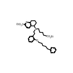 CCOC(=O)CCCCN(CCc1ccccc1OCCCCCc1ccccc1)C1CCCc2nc(C(=O)OCC)ccc21